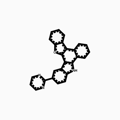 c1cnc(-c2ccc3[nH]c4c5ccccc5c5c6ccccc6oc5c4c3c2)nc1